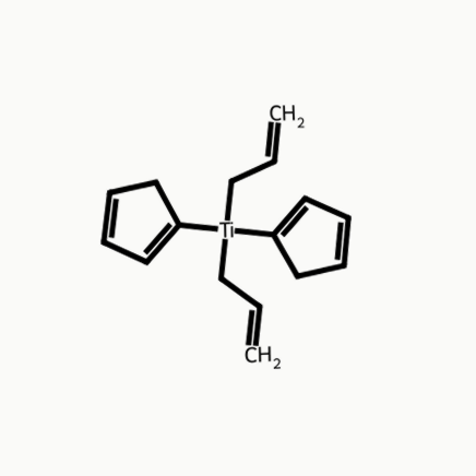 C=C[CH2][Ti]([CH2]C=C)([C]1=CC=CC1)[C]1=CC=CC1